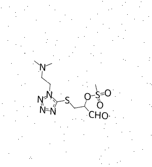 CN(C)CCn1nnnc1SCC([C]=O)OS(C)(=O)=O